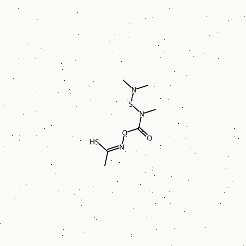 CC(S)=NOC(=O)N(C)SN(C)C